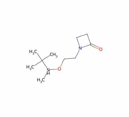 C[SiH](OCCN1CCC1=O)C(C)(C)C